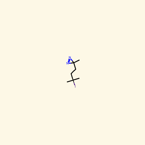 CC(C)(I)CCC1(C)N=N1